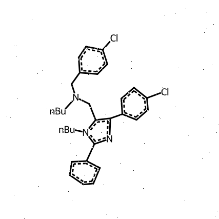 CCCCN(Cc1ccc(Cl)cc1)Cc1c(-c2ccc(Cl)cc2)nc(-c2ccccc2)n1CCCC